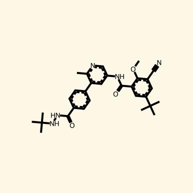 COc1c(C#N)cc(C(C)(C)C)cc1C(=O)Nc1cnc(C)c(-c2ccc(C(=O)NNC(C)(C)C)cc2)c1